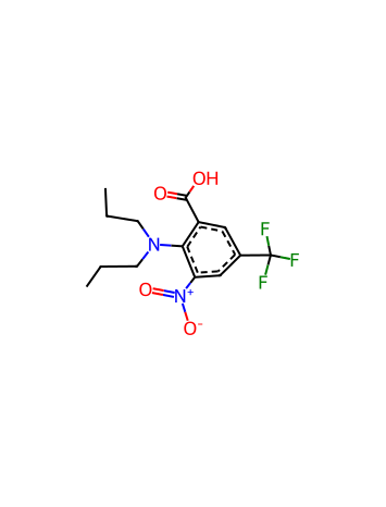 CCCN(CCC)c1c(C(=O)O)cc(C(F)(F)F)cc1[N+](=O)[O-]